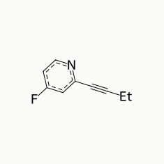 CCC#Cc1cc(F)ccn1